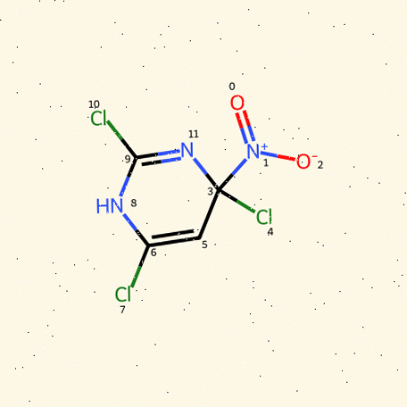 O=[N+]([O-])C1(Cl)C=C(Cl)NC(Cl)=N1